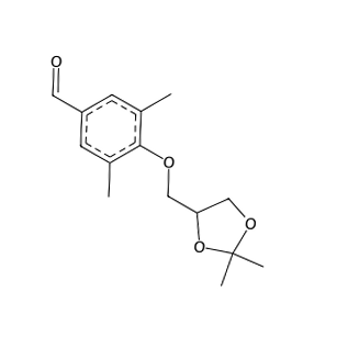 Cc1cc(C=O)cc(C)c1OCC1COC(C)(C)O1